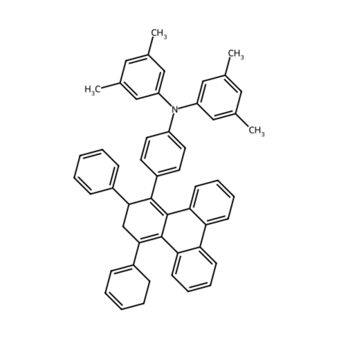 Cc1cc(C)cc(N(c2ccc(C3=c4c(c5ccccc5c5ccccc45)=C(C4=CC=CCC4)CC3c3ccccc3)cc2)c2cc(C)cc(C)c2)c1